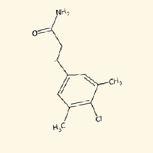 Cc1cc([CH]CC(N)=O)cc(C)c1Cl